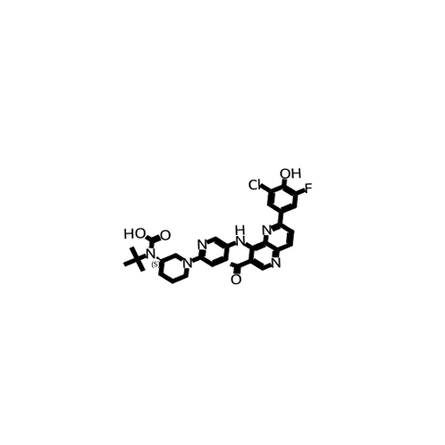 CC(=O)c1cnc2ccc(-c3cc(F)c(O)c(Cl)c3)nc2c1Nc1ccc(N2CCC[C@H](N(C(=O)O)C(C)(C)C)C2)nc1